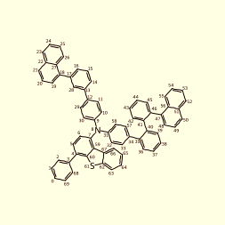 c1ccc(-c2ccc(N(c3ccc(-c4cccc(-c5cccc6ccccc56)c4)cc3)c3ccc(-c4ccccc4-c4ccccc4-c4cccc5ccccc45)cc3)c3c2sc2ccccc23)cc1